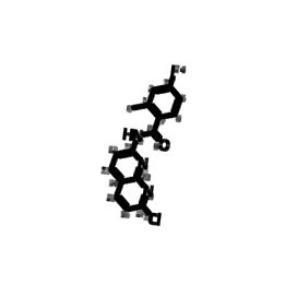 Cc1cc(F)ccc1C(=O)Nc1ccc2ccc(Cl)nc2n1